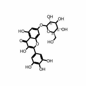 O=c1c(O)c(-c2cc(O)c(O)c(O)c2)oc2cc(OC3O[C@H](CO)[C@@H](O)C(O)[C@H]3O)cc(O)c12